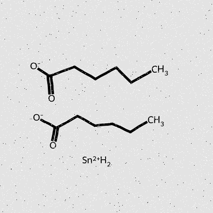 CCCCCC(=O)[O-].CCCCCC(=O)[O-].[SnH2+2]